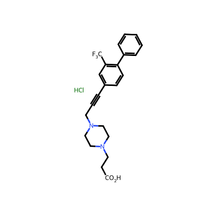 Cl.O=C(O)CCN1CCN(CC#Cc2ccc(-c3ccccc3)c(C(F)(F)F)c2)CC1